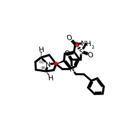 CS(=O)(=O)CC(=O)N(CCc1ccccc1)CCN1[C@@H]2CC[C@H]1C[C@@H](c1cccc(C(N)=O)c1)C2